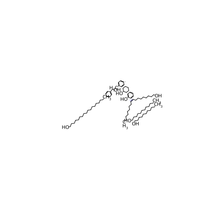 CCCCCCCC/C=C\CCCCCCCCO.CCCCCCCCCCCCCCCCCCO.CCCCCCCCCCCCO.CCCCCCCCCCCO.Cc1cc[c]cc1.OC1CCCCC1.OCc1ccccc1.Oc1ccccc1